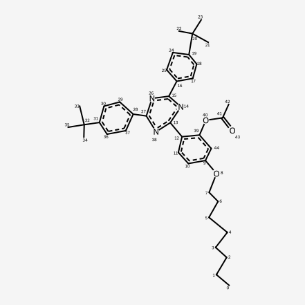 CCCCCCCCOc1ccc(-c2nc(-c3ccc(C(C)(C)C)cc3)nc(-c3ccc(C(C)(C)C)cc3)n2)c(OC(C)=O)c1